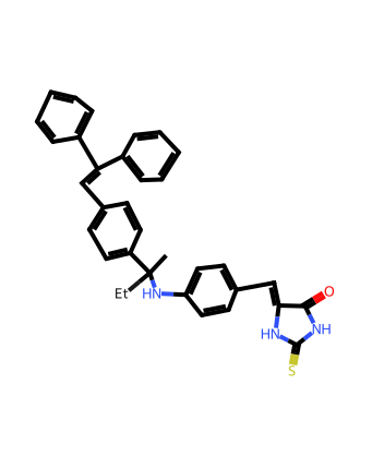 CCC(C)(Nc1ccc(/C=C2\NC(=S)NC2=O)cc1)c1ccc(C=C(c2ccccc2)c2ccccc2)cc1